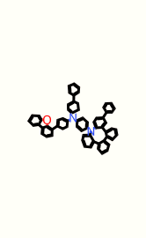 C1=C(c2ccccc2)CCC(N(C2=CC=C(c3cccc4c3oc3ccccc34)CC2)c2ccc(-n3c4ccccc4c4ccccc4c4ccccc4c4cc(-c5ccccc5)ccc43)cc2)=C1